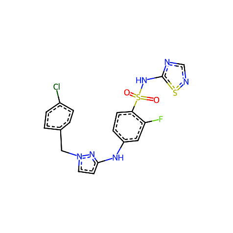 O=S(=O)(Nc1ncns1)c1ccc(Nc2ccn(Cc3ccc(Cl)cc3)n2)cc1F